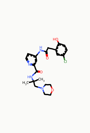 CC(C)(CN1CCOCC1)NC(=O)c1cc(NC(=O)Cc2cc(Cl)ccc2O)ccn1